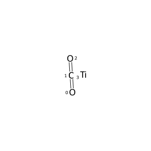 O=C=O.[Ti]